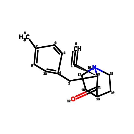 C#C[C@@]1(Cc2ccc(C)cc2)C(=O)C2CCN1CC2